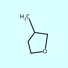 CC1C[CH]OC1